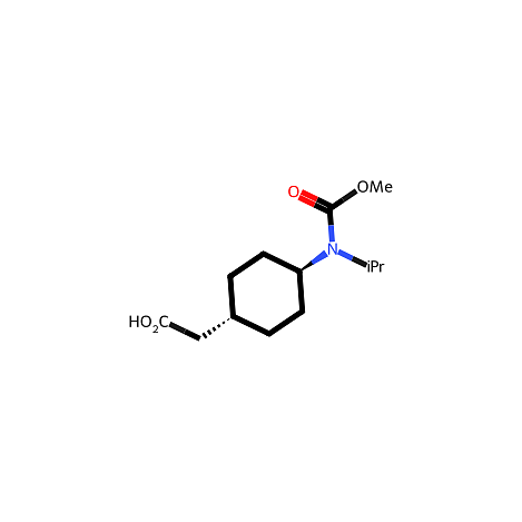 COC(=O)N(C(C)C)[C@H]1CC[C@H](CC(=O)O)CC1